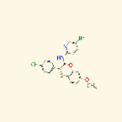 COc1ccc(SC(C(=O)Nc2ccc(Br)cn2)c2ccc(Cl)cc2)cc1